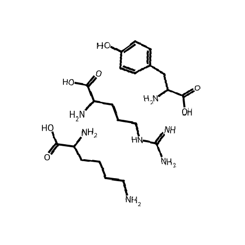 N=C(N)NCCCC(N)C(=O)O.NC(Cc1ccc(O)cc1)C(=O)O.NCCCCC(N)C(=O)O